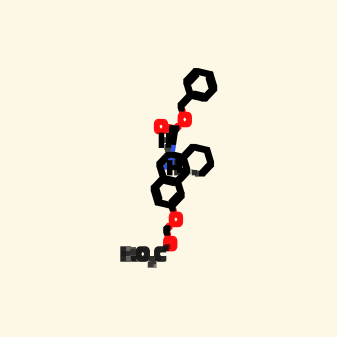 CCOC(=O)OCOc1ccc2c(c1)[C@]13CCCC[C@@H]1[C@H](C2)N(C(=O)OCc1ccccc1)CC3